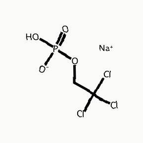 O=P([O-])(O)OCC(Cl)(Cl)Cl.[Na+]